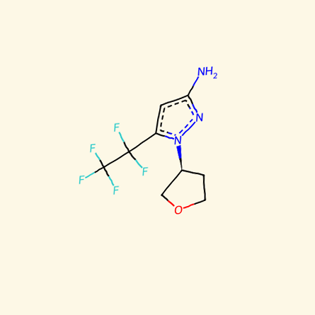 Nc1cc(C(F)(F)C(F)(F)F)n([C@H]2CCOC2)n1